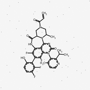 C=CC(=O)N1CC(C)N2c3nc(=O)n(-c4c(C)ccnc4C(C)C)c4c(F)c(-c5c(O)ccc(F)c5F)c(F)c(c34)NC(=O)C2C1